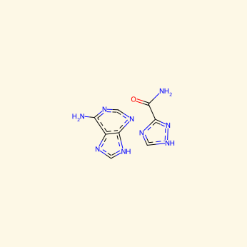 NC(=O)c1nc[nH]n1.Nc1ncnc2[nH]cnc12